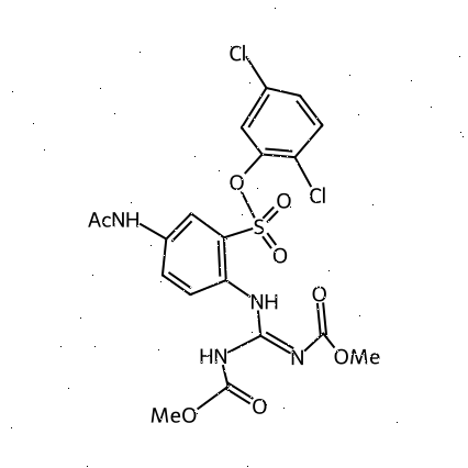 COC(=O)N=C(NC(=O)OC)Nc1ccc(NC(C)=O)cc1S(=O)(=O)Oc1cc(Cl)ccc1Cl